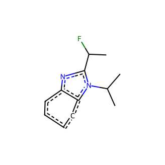 CC(F)c1nc2ccccc2n1C(C)C